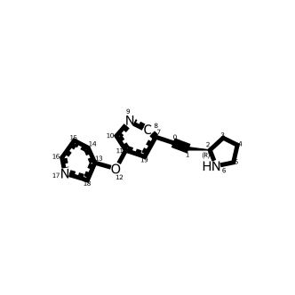 C(#C[C@H]1CCCN1)c1cncc(Oc2cccnc2)c1